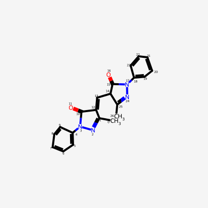 CC1=NN(c2ccccc2)C(=O)C1=CC1C(=O)N(c2ccccc2)N=C1C